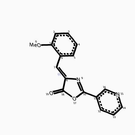 COc1ccccc1/C=C1\N=C(c2cccnc2)OC1=O